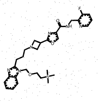 CS(C)(C)CCOCn1c(CCCN2CC(c3nc(C(=O)NCc4ncccc4F)co3)C2)nc2ccccc21